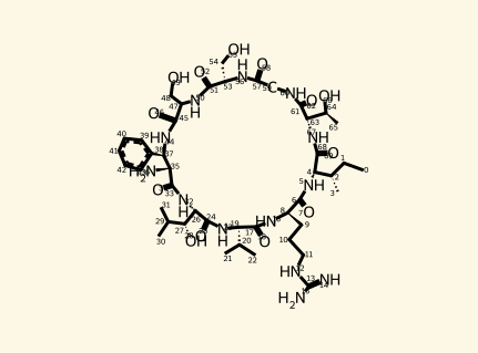 CC[C@H](C)[C@@H]1NC(=O)[C@@H](CCCNC(=N)N)NC(=O)[C@H](C(C)C)NC(=O)[C@H]([C@H](O)C(C)C)NC(=O)[C@@H](N)[C@@H](c2ccccc2)NC(=O)C(CO)NC(=O)[C@H](CO)NC(=O)CNC(=O)[C@H]([C@H](C)O)NC1=O